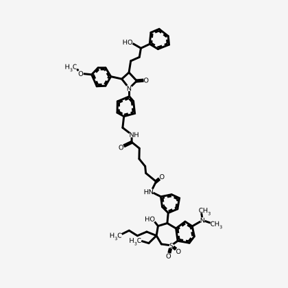 CCCCC1(CC)CS(=O)(=O)c2ccc(N(C)C)cc2C(c2cccc(NC(=O)CCCCC(=O)NCc3ccc(N4C(=O)C(CCC(O)c5ccccc5)C4c4ccc(OC)cc4)cc3)c2)C1O